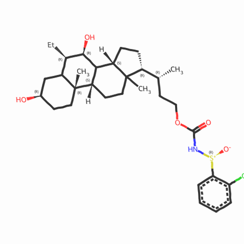 CC[C@@H]1C2C[C@H](O)CC[C@@]2(C)[C@H]2CCC3(C)[C@@H]([C@H](C)CCOC(=O)N[S@@+]([O-])c4ccccc4Cl)CC[C@H]3C2[C@@H]1O